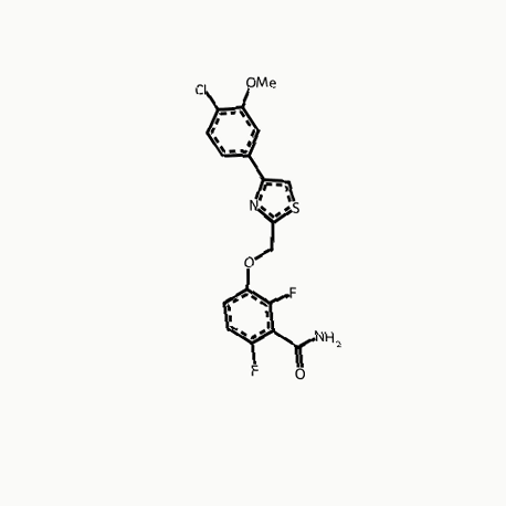 COc1cc(-c2csc(COc3ccc(F)c(C(N)=O)c3F)n2)ccc1Cl